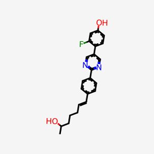 CC(O)CCCC=Cc1ccc(-c2ncc(-c3ccc(O)cc3F)cn2)cc1